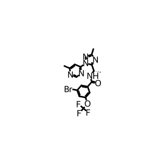 Cc1cc(-n2nc(C)nc2[C@H](C)NC(=O)c2cc(Br)cc(OC(F)(F)F)c2)ncn1